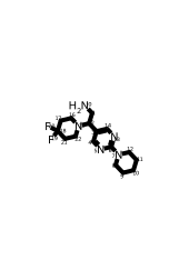 NCC(c1cnc(N2CCCCC2)nc1)N1CCC(F)(F)CC1